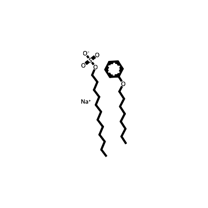 CCCCCCCCCCCCOS(=O)(=O)[O-].CCCCCCCCOc1ccccc1.[Na+]